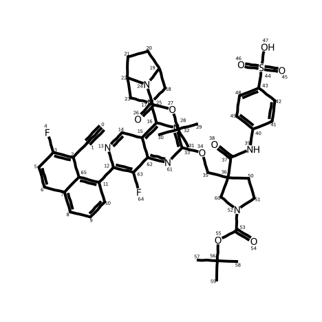 C#Cc1c(F)ccc2cccc(-c3ncc4c(N5CC6CCC(C5)N6C(=O)OC(C)(C)C)nc(OCC5(C(=O)Nc6ccc(S(=O)(=O)O)cc6)CCN(C(=O)OC(C)(C)C)C5)nc4c3F)c12